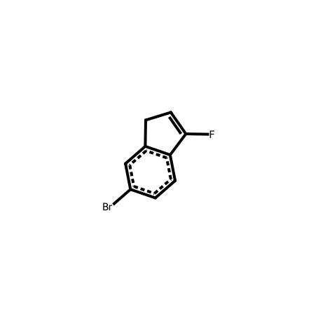 FC1=CCc2cc(Br)ccc21